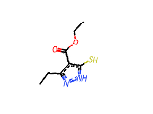 CCOC(=O)c1c(CC)n[nH]c1S